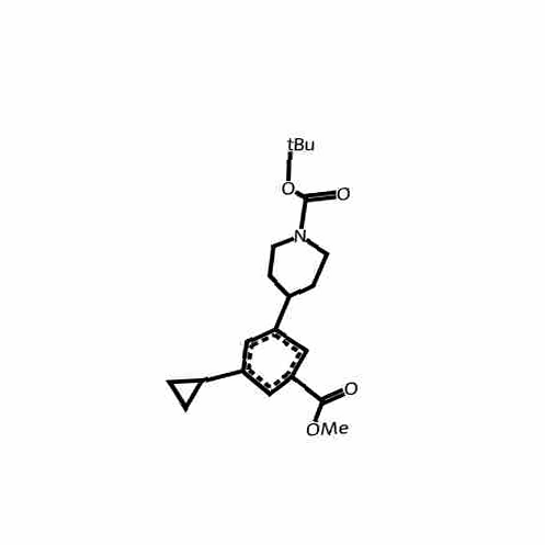 COC(=O)c1cc(C2CC2)cc(C2CCN(C(=O)OC(C)(C)C)CC2)c1